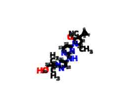 C[C@H]1C[C@@](C#N)(C2CC2)C(=O)N1c1ccnc(Nc2cnn(C(C)(C)CO)c2)n1